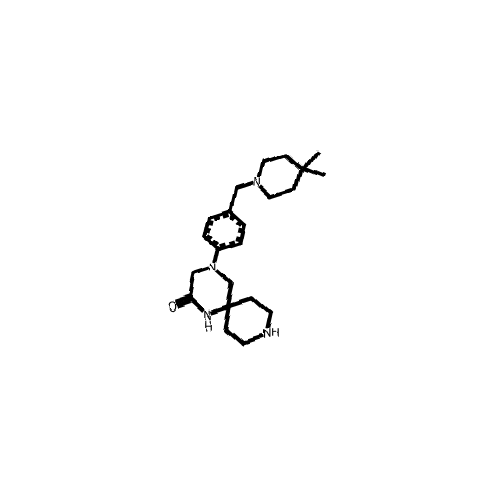 CC1(C)CCN(Cc2ccc(N3CC(=O)NC4(CCNCC4)C3)cc2)CC1